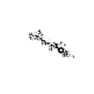 Cc1nc(NC(=O)NCCC(=O)OC(C)(C)C)sc1-c1ccc(S(C)(=O)=O)cc1